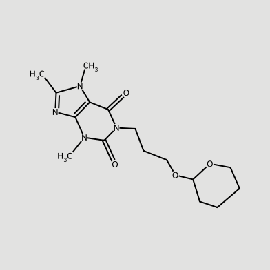 Cc1nc2c(c(=O)n(CCCOC3CCCCO3)c(=O)n2C)n1C